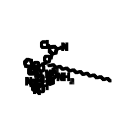 CCCCCCCCCCCCCCCCCCC[C@H](COP(=O)(OC[C@@]1(C#N)O[C@@H](c2ccc3c(N)ncnn23)[C@@H]2OC(C)(C)O[C@@H]21)Oc1ccccc1Cl)OCc1cc(Cl)cc(C#N)c1